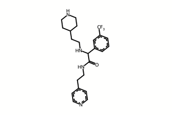 O=C(NCCc1ccncc1)C(NCCC1CCNCC1)c1cccc(C(F)(F)F)c1